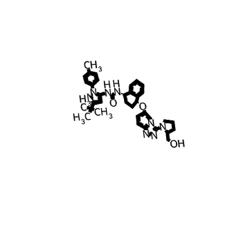 Cc1ccc(-n2nc(C(C)(C)C)cc2NC(=O)N[C@H]2CC[C@@H](Oc3ccc4nnc(N5CCCC5CO)n4c3)c3ccccc32)cc1